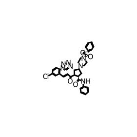 O=C(/C=C/c1cc(Cl)ccc1-n1cnnn1)C1C[C@@H](N2CCN(S(=O)(=O)c3ccccc3)CC2)C[C@H]1C(=O)Nc1ccccc1